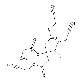 C#CCOC(=O)CC(CC(=O)OCC#C)(O[PH](=O)COC)C(=O)OCC#C